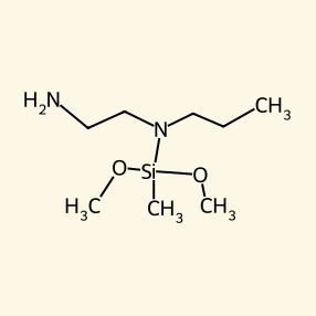 CCCN(CCN)[Si](C)(OC)OC